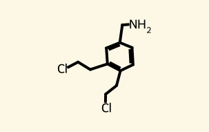 NCc1ccc(CCCl)c(CCCl)c1